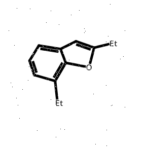 CCc1cc2cccc(CC)c2o1